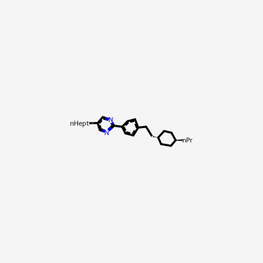 CCCCCCCc1cnc(-c2ccc(CC[C@H]3CC[C@H](CCC)CC3)cc2)nc1